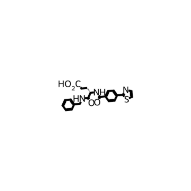 O=C(O)CC[C@H](NC(=O)c1ccc(-c2nccs2)cc1)C(=O)NCc1ccccc1